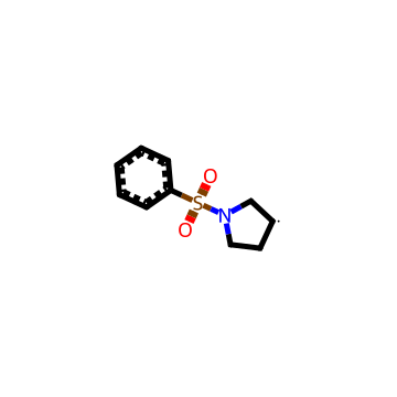 O=S(=O)(c1ccccc1)N1C[CH]CC1